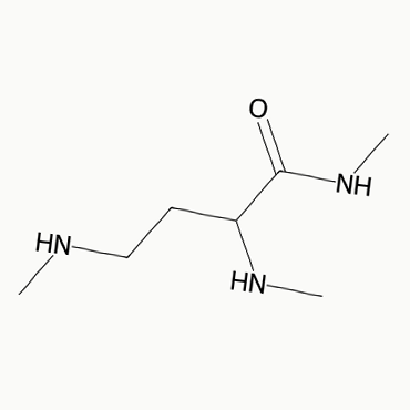 CNCCC(NC)C(=O)NC